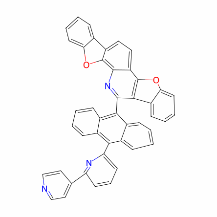 c1cc(-c2ccncc2)nc(-c2c3ccccc3c(-c3nc4c(ccc5c6ccccc6oc54)c4oc5ccccc5c34)c3ccccc23)c1